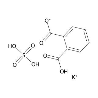 O=C([O-])c1ccccc1C(=O)O.O=S(=O)(O)O.[K+]